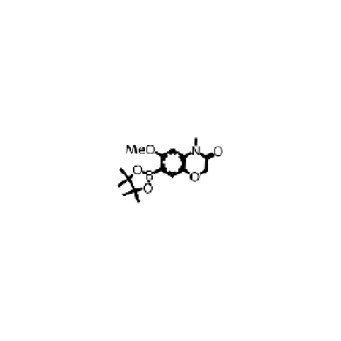 COc1cc2c(cc1B1OC(C)(C)C(C)(C)O1)OCC(=O)N2C